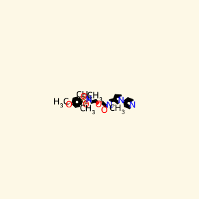 COc1cc(C)c(S(=O)(=O)N(C)CCOCC(=O)N(C)CC2CCN(c3ccncc3)C2)c(C)c1